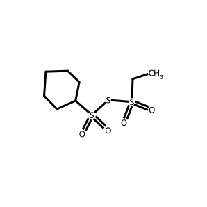 CCS(=O)(=O)SS(=O)(=O)C1CCCCC1